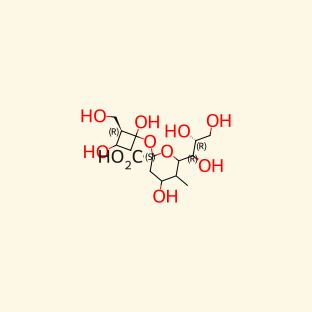 CC1C(O)C[C@](OC2(O)CC(O)[C@H]2CO)(C(=O)O)OC1[C@H](O)[C@H](O)CO